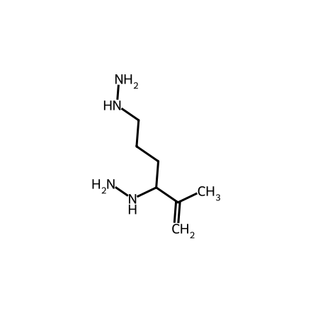 C=C(C)C(CCCNN)NN